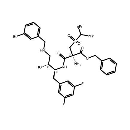 CCCC(CCC)S(=O)(=O)C[C@](N)(C(=O)N[C@@H](Cc1cc(F)cc(F)c1)[C@H](O)CNCc1cccc(CC)c1)C(=O)OCc1ccccc1